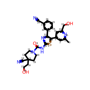 Cc1cc(-c2sc(NC(=O)N3CCC(C#N)(CCO)CC3)nc2-c2cccc(C#N)c2)cc(CO)n1